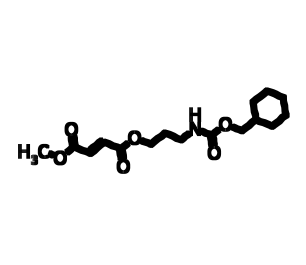 COC(=O)/C=C/C(=O)OCCCNC(=O)OCC1CCCCC1